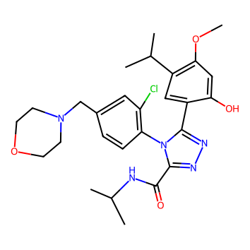 COc1cc(O)c(-c2nnc(C(=O)NC(C)C)n2-c2ccc(CN3CCOCC3)cc2Cl)cc1C(C)C